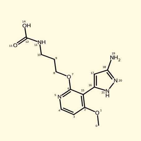 COc1ccnc(OCCCNC(=O)O)c1-c1cc(N)n[nH]1